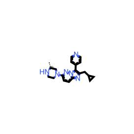 C[C@@H]1CN(c2ccc3nc(CC4CC4)c(-c4ccncc4)n3n2)CCN1